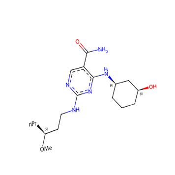 CCC[C@@H](CCNc1ncc(C(N)=O)c(N[C@@H]2CCC[C@H](O)C2)n1)OC